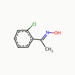 CC(=NO)c1ccccc1Cl